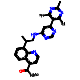 [2H]c1nc(C)nc([2H])c1-c1cc(NCC(C)c2cccc3c(C(=O)NC)ccnc23)ncn1